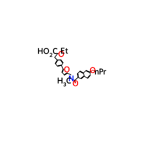 CCCOc1ccc2cc(C(=O)N(C)Cc3ccc(-c4ccc(CC(OCC)C(=O)O)cc4)o3)ccc2c1